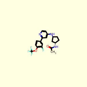 CC(=O)N[C@H]1CC[C@H](Nc2ccnc(-c3ccc(OC(F)(F)F)c(F)c3)c2)C1